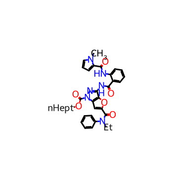 CCCCCCCOC(=O)n1nc(NC(=O)c2ccccc2NC(=O)c2cccn2C)c2oc(C(=O)N(CC)c3ccccc3)cc21